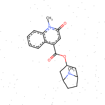 CN1C2CCC1CC(OC(=O)c1cc(=O)n(C)c3ccccc13)C2